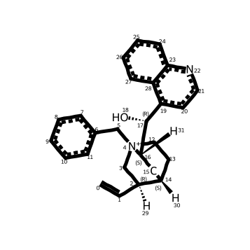 C=C[C@H]1C[N+]2(Cc3ccccc3)CC[C@H]1C[C@H]2[C@H](O)c1ccnc2ccccc12